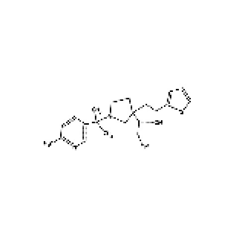 Cc1ccc(C(C)(C)N2CCC(CCc3cccs3)(C(O)CO)C2)cn1